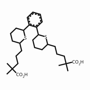 CC(C)(CCCC1CCCC(c2ccccc2C2CCCC(CCCC(C)(C)C(=O)O)S2)S1)C(=O)O